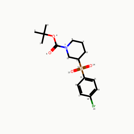 CC(C)(C)OC(=O)N1CCCC(S(=O)(=O)c2ccc(Br)cc2)C1